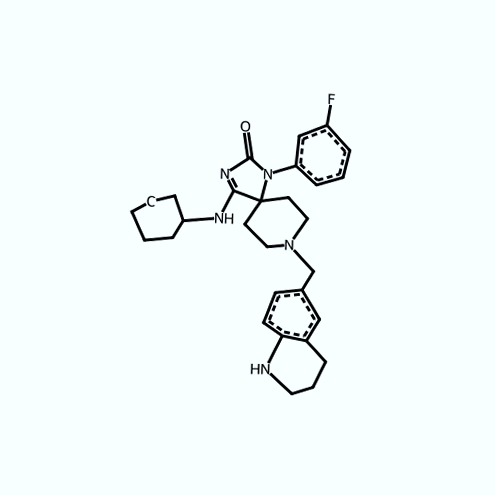 O=C1N=C(NC2CCCCC2)C2(CCN(Cc3ccc4c(c3)CCCN4)CC2)N1c1cccc(F)c1